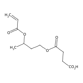 C=CC(=O)OC(C)CCOC(=O)CCC(=O)O